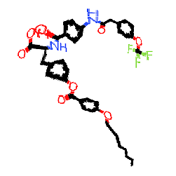 CCCCCCCOc1ccc(C(=O)Oc2ccc(C[C@H](NC(=O)c3ccc(NC(=O)Cc4ccc(OC(F)(F)F)cc4)cc3)C(=O)O)cc2)cc1